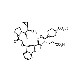 CCOC(=O)N1CCN(C(=O)[C@H](CCC(=O)O)NC(=O)c2cc(OCC(=O)N3CCC[C@H]3C(=O)N(C)C3CC3)c3ccccc3n2)CC1